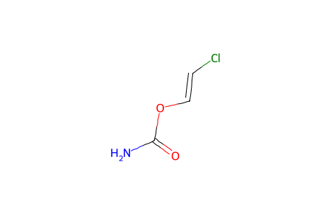 NC(=O)OC=CCl